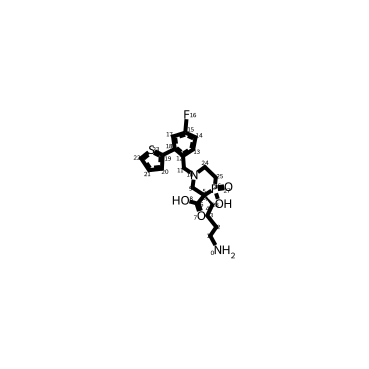 NCCCC[C@@]1(C(=O)O)CN(Cc2ccc(F)cc2-c2cccs2)CCP1(=O)O